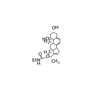 CCNC(=O)CO[C@@H](C)C1=CCC2C3=CC=C4C[C@@H](O)C[C@H](O)[C@]4(C)C3CC[C@]12C